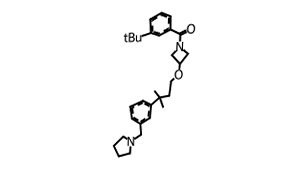 CC(C)(C)c1cccc(C(=O)N2CC(OCCC(C)(C)c3cccc(CN4CCCC4)c3)C2)c1